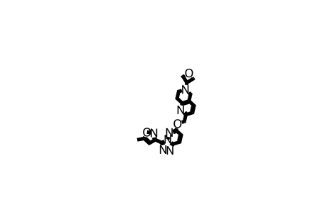 Cc1cc(-c2nnc3ccc(OCc4ccc5c(n4)CCN(C4COC4)C5)nn23)no1